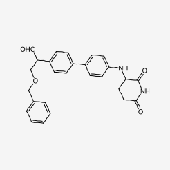 O=CC(COCc1ccccc1)c1ccc(-c2ccc(NC3CCC(=O)NC3=O)cc2)cc1